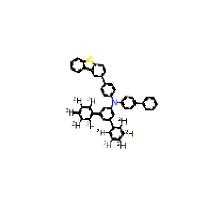 [2H]c1c([2H])c([2H])c(-c2cc(-c3c([2H])c([2H])c([2H])c([2H])c3[2H])cc(N(c3ccc(-c4ccccc4)cc3)c3ccc(-c4ccc5sc6ccccc6c5c4)cc3)c2)c([2H])c1[2H]